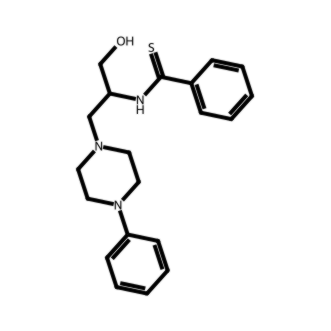 OCC(CN1CCN(c2ccccc2)CC1)NC(=S)c1ccccc1